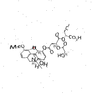 C=C=CC(OC(=O)[C@H](CC(=O)OC1=CC[C@@]2(O)[C@H]3Cc4ccc(OC)c5c4[C@@]2(CCN3C)[C@H]1O5)OC(=O)[C@H](C)O)C(=O)O